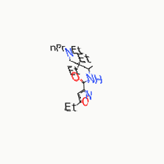 CCCN(CC)CC(CC)(CC)C(C)NC(=O)c1cc(CC)on1